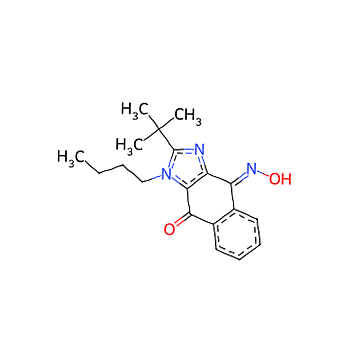 CCCCn1c(C(C)(C)C)nc2c1C(=O)c1ccccc1/C2=N\O